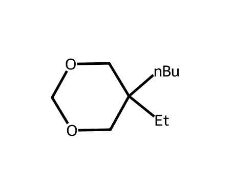 CCCCC1(CC)COCOC1